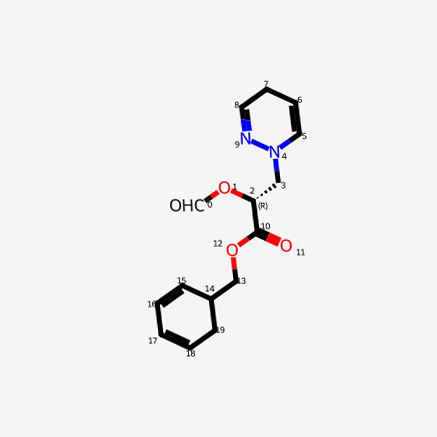 O=CO[C@H](CN1C=CCC=N1)C(=O)OCC1C=CC=CC1